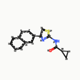 O=C(Nc1nc(-c2ccc3ccccc3c2)cs1)C1CC1